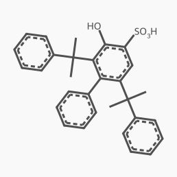 CC(C)(c1ccccc1)c1cc(S(=O)(=O)O)c(O)c(C(C)(C)c2ccccc2)c1-c1ccccc1